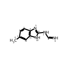 Cc1ccc2nc(NC=N)[nH]c2c1